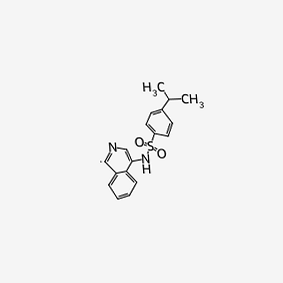 CC(C)c1ccc(S(=O)(=O)Nc2cn[c]c3ccccc23)cc1